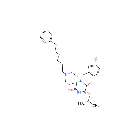 CC(C)C[C@@H]1NC(=O)C2(CCN(CCCCCCc3ccccc3)CC2)N(Cc2cccc(Cl)c2)C1=O